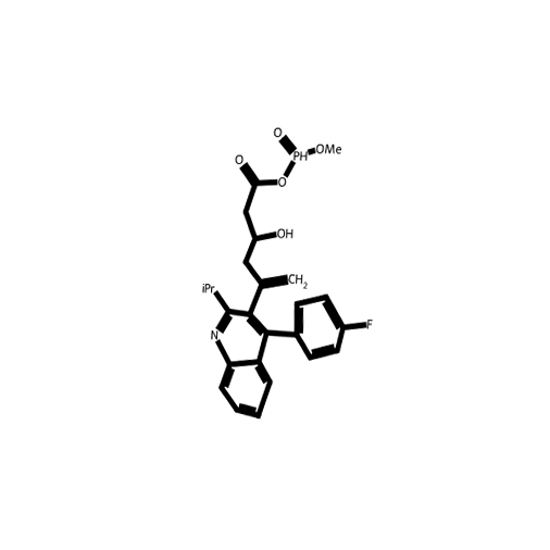 C=C(CC(O)CC(=O)O[PH](=O)OC)c1c(C(C)C)nc2ccccc2c1-c1ccc(F)cc1